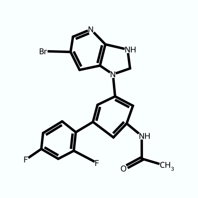 CC(=O)Nc1cc(-c2ccc(F)cc2F)cc(N2CNc3ncc(Br)cc32)c1